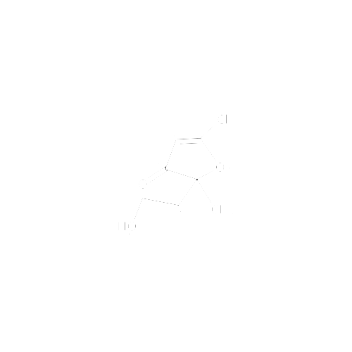 CC1(CCO)OC(Cl)=CC1=O